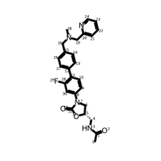 CC(=O)NC[C@H]1CN(c2ccc(-c3ccc(CN(C)Cc4ccccn4)cc3)c(F)c2)C(=O)O1